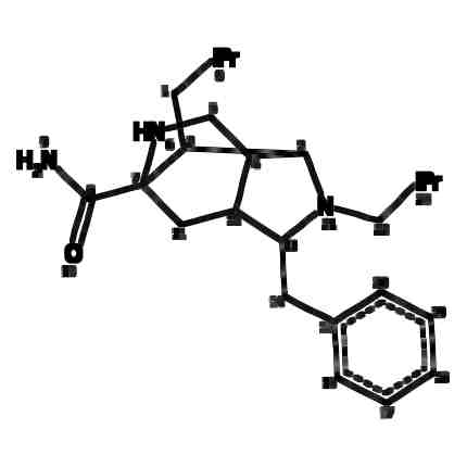 CC(C)CC1C2C3CNC1(C(N)=O)CC3C(Cc1ccccc1)N2CC(C)C